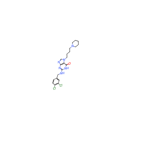 O=c1[nH]c(NCc2ccc(Cl)c(Cl)c2)nc2ncn(CCCCN3CCCCC3)c12